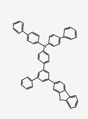 c1ccc(-c2ccc(N(c3ccc(-c4ccccc4)cc3)c3ccc(-c4cc(-c5ccccc5)cc(-c5ccc6c(c5)sc5ccccc56)c4)cc3)cc2)cc1